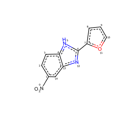 O=[N+]([O-])c1ccc2[nH]c(-c3ccco3)nc2c1